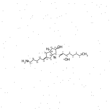 CCCCC[C@H](O)/C=C/[C@@H]1[C@H]2C/C(=C/CCCCN)C[C@H]2C[C@H]1O